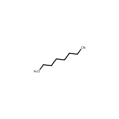 CC(=O)OCCCCCCC#N